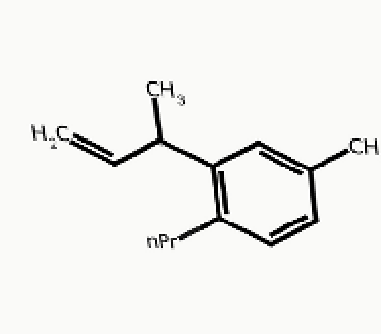 C=C[C](C)c1cc(C)ccc1CCC